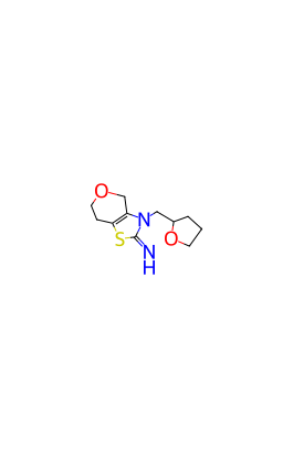 N=c1sc2c(n1CC1CCCO1)COCC2